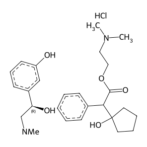 CN(C)CCOC(=O)C(c1ccccc1)C1(O)CCCC1.CNC[C@H](O)c1cccc(O)c1.Cl